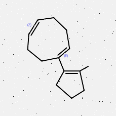 CC1=C(/C2=C/CC/C=C\CC2)CCC1